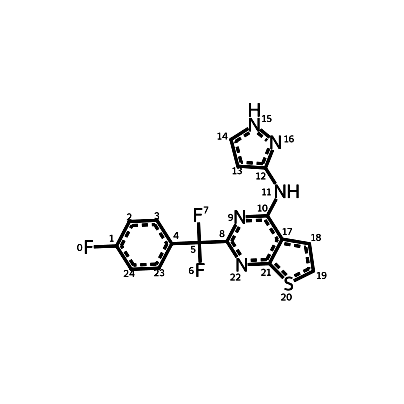 Fc1ccc(C(F)(F)c2nc(Nc3cc[nH]n3)c3ccsc3n2)cc1